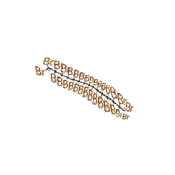 Br[C](Br)C(Br)(Br)C(Br)(Br)C(Br)(Br)C(Br)(Br)C(Br)(Br)C(Br)(Br)C(Br)(Br)C(Br)(Br)C(Br)(Br)C(Br)(Br)C(Br)(Br)C(Br)(Br)C(Br)(Br)[C](Br)Br